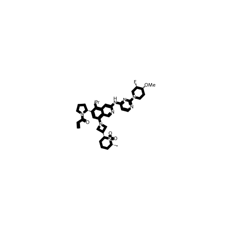 C=CC(=O)N1CCC[C@@H]1c1cc(N2CC([C@H]3CCC[C@@H](C)S3(=O)=O)C2)c2cnc(Nc3ccnc(N4CC[C@@H](OC)[C@@H](F)C4)n3)cc2c1C(C)C